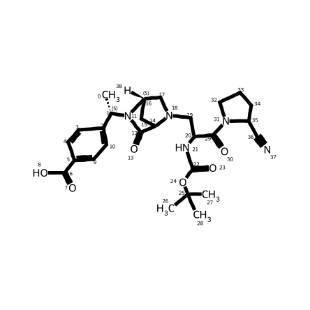 C[C@@H](c1ccc(C(=O)O)cc1)N1C(=O)C2C[C@H]1CN2CC(NC(=O)OC(C)(C)C)C(=O)N1CCCC1C#N